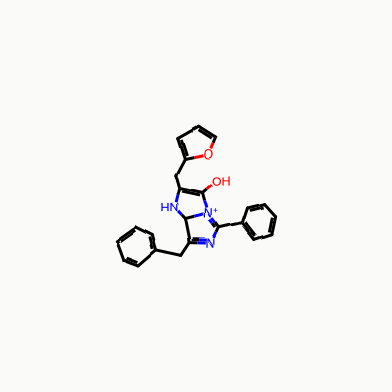 OC1=C(Cc2ccco2)NC2C(Cc3ccccc3)=NC(c3ccccc3)=[N+]12